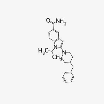 CC(C)n1c(N2CCC(Cc3ccccc3)CC2)cc2cc(C(N)=O)ccc21